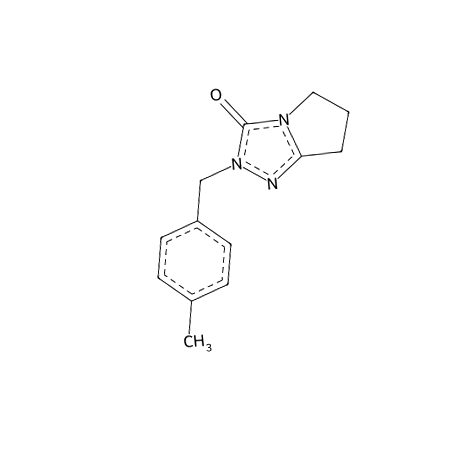 Cc1ccc(Cn2nc3n(c2=O)CCC3)cc1